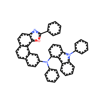 c1ccc(-c2nc3ccc4ccc5ccc(N(c6ccccc6)c6cccc7c6c6ccccc6n7-c6ccccc6)cc5c4c3o2)cc1